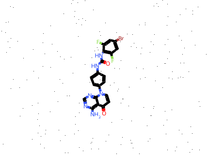 Nc1ncnc2c1c(=O)ccn2-c1ccc(NC(=O)Nc2c(F)cc(Br)cc2F)cc1